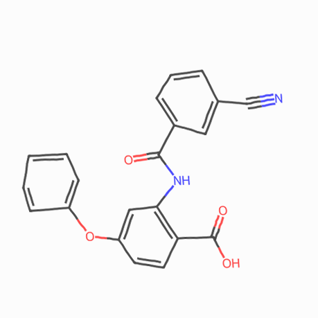 N#Cc1cccc(C(=O)Nc2cc(Oc3ccccc3)ccc2C(=O)O)c1